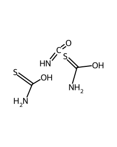 N=C=O.NC(O)=S.NC(O)=S